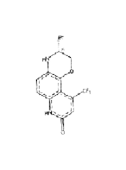 CC(C)[C@@H]1COc2c(ccc3[nH]c(=O)cc(C(F)(F)F)c23)N1